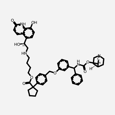 O=C(NC(c1ccccc1)c1cccc(OCc2ccc(C3(C(=O)OCCCCNC[C@@H](O)c4ccc(O)c5[nH]c(=O)ccc45)CCCC3)cc2)c1)O[C@H]1CN2CCC1CC2